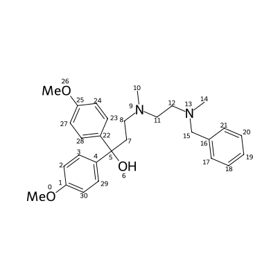 COc1ccc(C(O)(CCN(C)CCN(C)Cc2ccccc2)c2ccc(OC)cc2)cc1